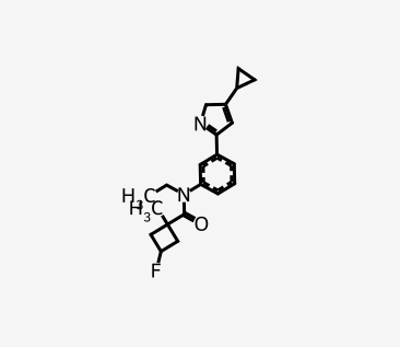 CCN(C(=O)C1(C)CC(F)C1)c1cccc(C2=NCC(C3CC3)=C2)c1